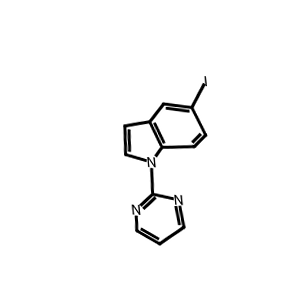 Ic1ccc2c(ccn2-c2ncccn2)c1